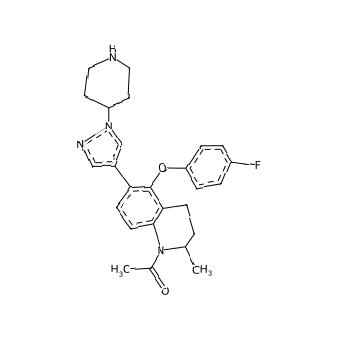 CC(=O)N1c2ccc(-c3cnn(C4CCNCC4)c3)c(Oc3ccc(F)cc3)c2CCC1C